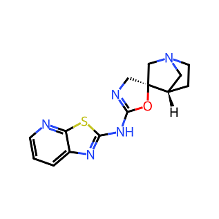 c1cnc2sc(NC3=NC[C@@]4(CN5CC[C@H]4C5)O3)nc2c1